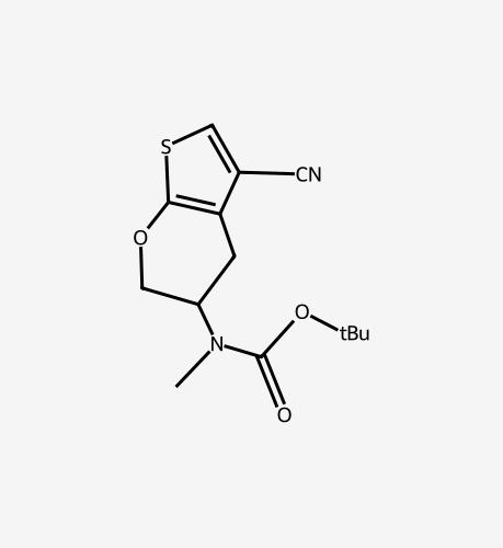 CN(C(=O)OC(C)(C)C)C1COc2scc(C#N)c2C1